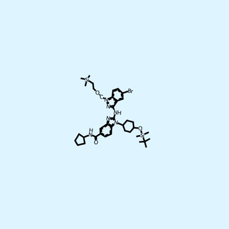 CC(C)(C)[Si](C)(C)OC1CCC(n2c(Nc3nn(COCC[Si](C)(C)C)c4ccc(Br)cc34)nc3cc(C(=O)NC4CCCC4)ccc32)CC1